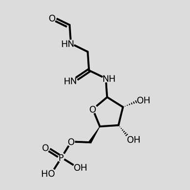 N=C(CNC=O)NC1O[C@H](COP(=O)(O)O)[C@@H](O)[C@H]1O